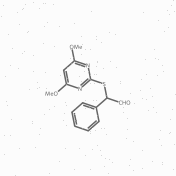 COc1cc(OC)nc(SC(C=O)c2ccccc2)n1